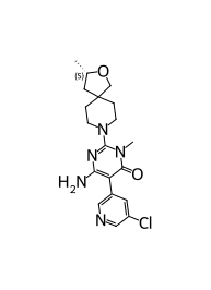 C[C@H]1CC2(CCN(c3nc(N)c(-c4cncc(Cl)c4)c(=O)n3C)CC2)CO1